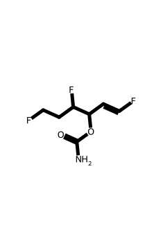 NC(=O)OC(C=CF)C(F)CCF